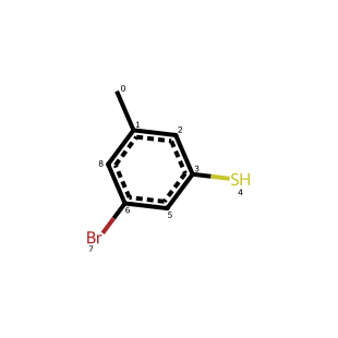 Cc1cc(S)cc(Br)c1